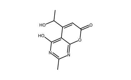 Cc1nc(O)c2c(C(C)O)cc(=O)oc2n1